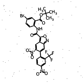 CC(C)(C)OC(=O)c1cc(Br)ccc1NC(=O)c1onc2cc(-c3ccc([N+](=O)[O-])cc3C(F)(F)F)c([N+](=O)[O-])cc12